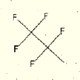 [CH]C(F)(F)C(F)(F)F